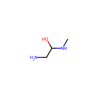 CNC(O)CN